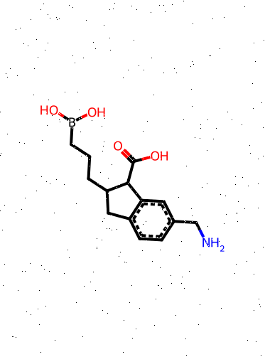 NCc1ccc2c(c1)C(C(=O)O)C(CCCB(O)O)C2